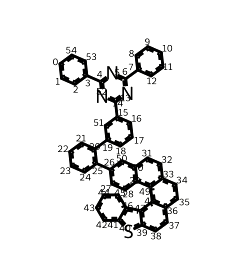 c1ccc(-c2nc(-c3ccccc3)nc(-c3cccc(-c4ccccc4-c4ccc5c(ccc6ccc7ccc8sc9ccccc9c8c7c65)c4)c3)n2)cc1